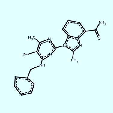 Cc1nc(-n2c(C)nc3c(C(N)=O)cccc32)nc(NCc2ccccc2)c1C(C)C